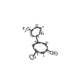 O=Cc1cc(Cl)cc(-c2nccc(C(F)(F)F)n2)c1